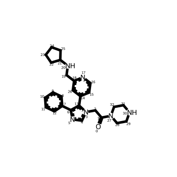 O=C(Cn1cnc(-c2ccccc2)c1-c1ccnc(CNC2CCCC2)c1)N1CCNCC1